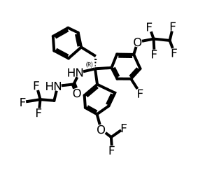 O=C(NCC(F)(F)F)N[C@](Cc1ccccc1)(c1ccc(OC(F)F)cc1)c1cc(F)cc(OC(F)(F)C(F)F)c1